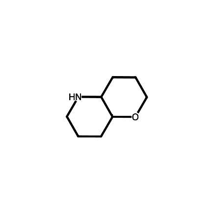 C1CNC2CCCO[C]2C1